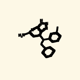 Cc1cccc(C(Cc2ccccc2)c2cc(N)nc3[nH]nnc23)c1